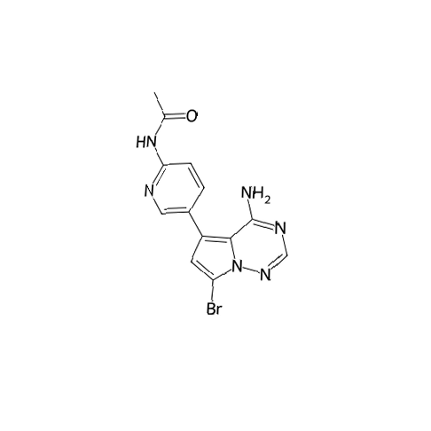 CC(=O)Nc1ccc(-c2cc(Br)n3ncnc(N)c23)cn1